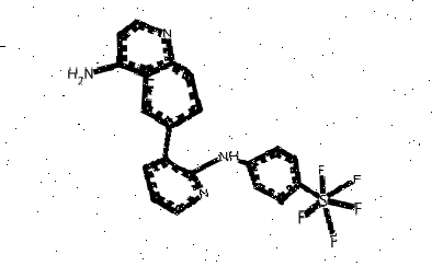 Nc1ccnc2ccc(-c3cccnc3Nc3ccc(S(F)(F)(F)(F)F)cc3)cc12